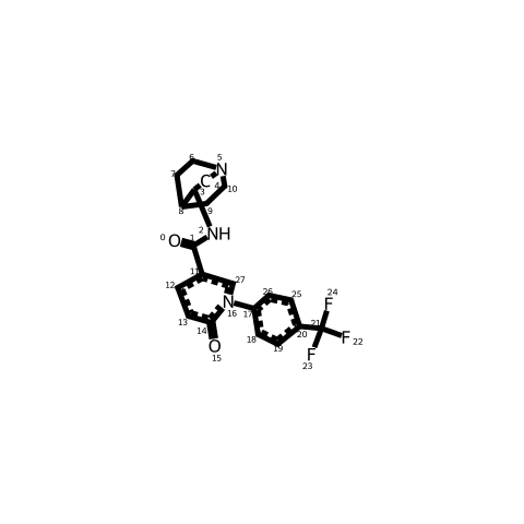 O=C(NC1CN2CCC1CC2)c1ccc(=O)n(-c2ccc(C(F)(F)F)cc2)c1